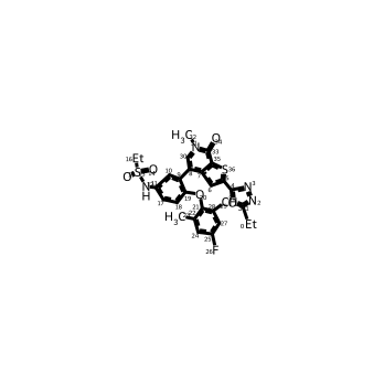 CCc1nnc(-c2cc3c(-c4cc(NS(=O)(=O)CC)ccc4Oc4c(C)cc(F)cc4C)cn(C)c(=O)c3s2)o1